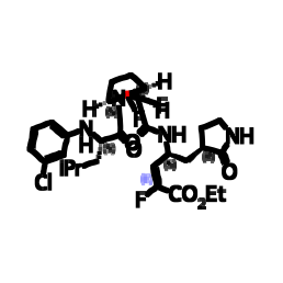 CCOC(=O)/C(F)=C\[C@H](C[C@H]1CCNC1=O)NC(=O)[C@@H]1[C@@H]2CC[C@@H](CC2(F)F)N1C(=O)[C@H](CC(C)C)Nc1cccc(Cl)c1